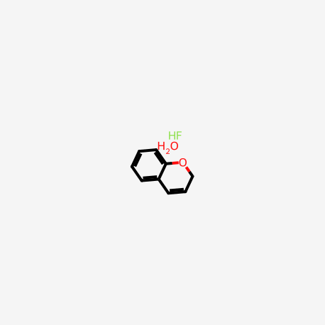 C1=Cc2ccccc2OC1.F.O